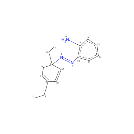 CCC1=CCC(CC)(N=Nc2ccccc2N)C=C1